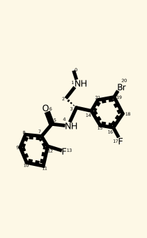 CNC[C@@H](NC(=O)c1ccccc1F)c1cc(F)cc(Br)c1